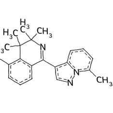 Cc1cccc2c(C3=NC(C)(C)C(C)(C)c4c(F)cccc43)cnn12